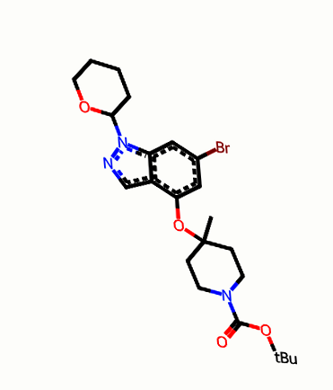 CC(C)(C)OC(=O)N1CCC(C)(Oc2cc(Br)cc3c2cnn3C2CCCCO2)CC1